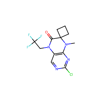 CN1c2nc(Cl)ncc2N(CC(F)(F)F)C(=O)C12CCC2